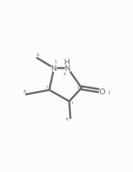 CC1C(=O)NN(C)C1C